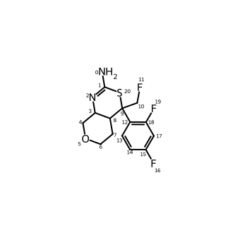 NC1=NC2COCCC2C(CF)(c2ccc(F)cc2F)S1